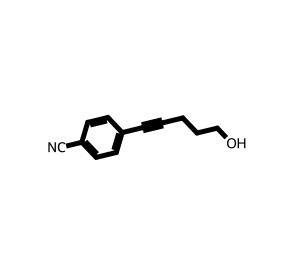 N#Cc1ccc(C#CCCCO)cc1